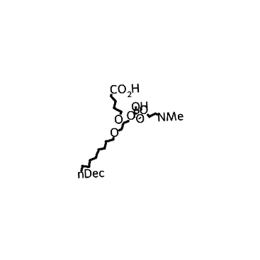 CCCCCCCCCCCCCCCCCCOCC(COP(=O)(O)OCCNC)OCCCCC(=O)O